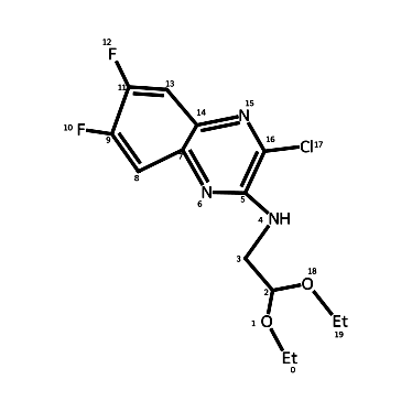 CCOC(CNc1nc2cc(F)c(F)cc2nc1Cl)OCC